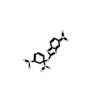 O=[N+]([O-])C1=CC=CC(SC2=NC3=CC(=S(=O)=O)C=CC3=N2)([N+](=O)[O-])C1